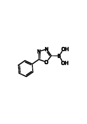 OB(O)c1nnc(-c2ccccc2)o1